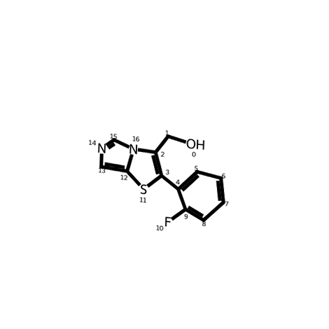 OCc1c(-c2ccccc2F)sc2cncn12